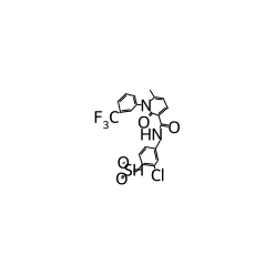 Cc1ccc(C(=O)NCc2ccc(C[SH](=O)=O)c(Cl)c2)c(=O)n1-c1cccc(C(F)(F)F)c1